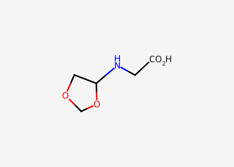 O=C(O)CNC1COCO1